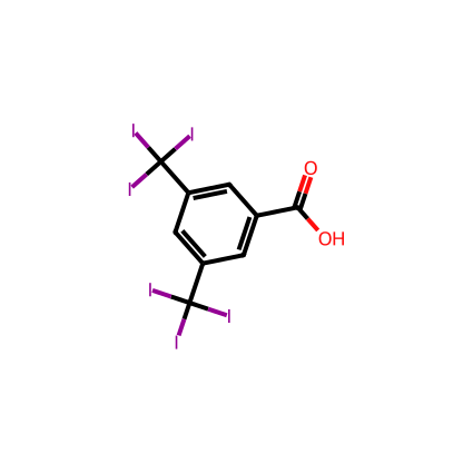 O=C(O)c1cc(C(I)(I)I)cc(C(I)(I)I)c1